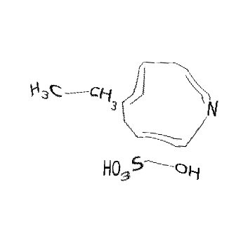 CC.O=S(=O)(O)O.c1ccncc1